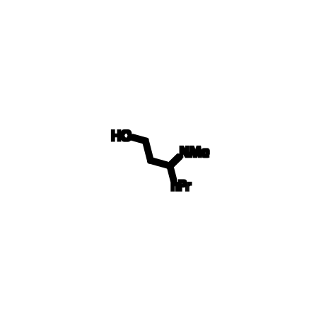 CCCC(CCO)NC